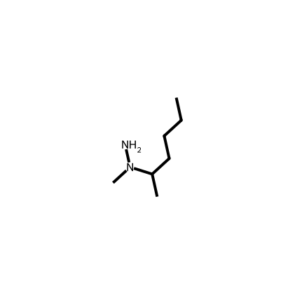 CCCCC(C)N(C)N